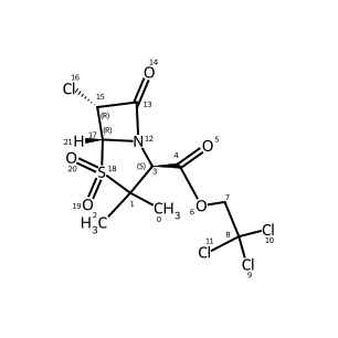 CC1(C)[C@H](C(=O)OCC(Cl)(Cl)Cl)N2C(=O)[C@@H](Cl)[C@H]2S1(=O)=O